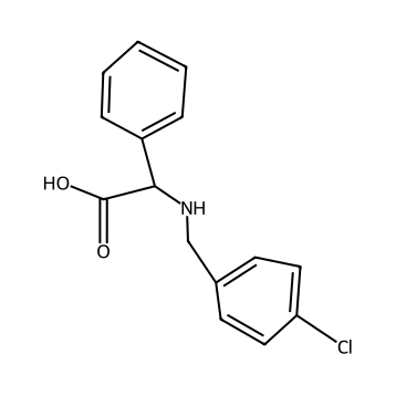 O=C(O)C(NCc1ccc(Cl)cc1)c1ccccc1